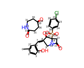 Cc1ccc(O)c(C=C2CN3C(=O)CC3(S(=O)(=O)c3ccc(Cl)cc3)C2=O)c1.O=C1CCNC(=O)CC1